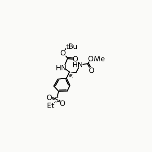 CCS(=O)(=O)c1ccc([C@H](CNC(=O)OC)NC(=O)OC(C)(C)C)cc1